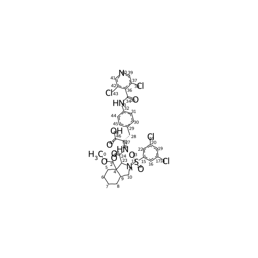 COC(=O)C12CCCCC1CN(S(=O)(=O)c1cc(Cl)cc(Cl)c1)C2C(=O)N[C@@H](Cc1ccc(NC(=O)c2c(Cl)cncc2Cl)cc1)C(=O)O